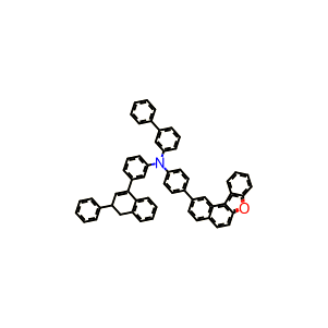 C1=C(c2cccc(N(c3ccc(-c4ccc5ccc6oc7ccccc7c6c5c4)cc3)c3cccc(-c4ccccc4)c3)c2)c2ccccc2CC1c1ccccc1